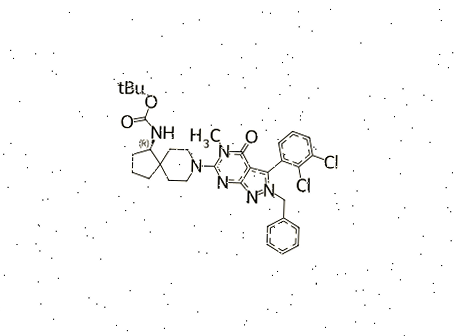 Cn1c(N2CCC3(CCC[C@H]3NC(=O)OC(C)(C)C)CC2)nc2nn(Cc3ccccc3)c(-c3cccc(Cl)c3Cl)c2c1=O